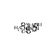 Cc1cccc2nc(CNc3ncnc4c3NCN4)c(-c3ccccc3Cl)nc12